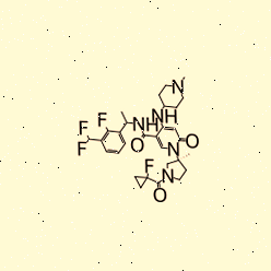 CC(NC(=O)c1cn([C@@]2(C)CCN(C(=O)C3(F)CC3)C2)c(=O)cc1NC1CCN(C)CC1)c1cccc(C(F)F)c1F